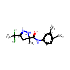 CC1(C(=O)Nc2ccc([N+](=O)[O-])c(C(F)(F)F)c2)CC(C(F)(F)C(F)(F)F)=NN1